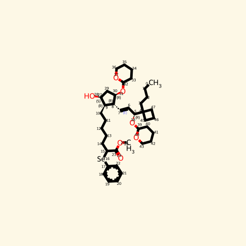 CCCCC1([C@@H](/C=C/[C@@H]2[C@@H](CCCCCC([Se]c3ccccc3)C(=O)OC)[C@@H](O)C[C@H]2OC2CCCCO2)OC2CCCCO2)CCC1